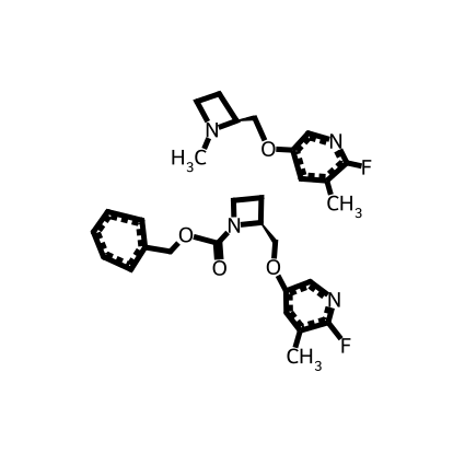 Cc1cc(OC[C@@H]2CCN2C(=O)OCc2ccccc2)cnc1F.Cc1cc(OC[C@@H]2CCN2C)cnc1F